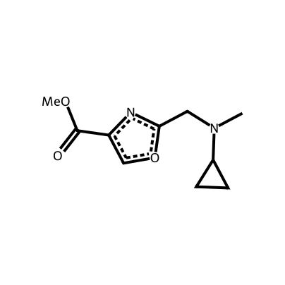 COC(=O)c1coc(CN(C)C2CC2)n1